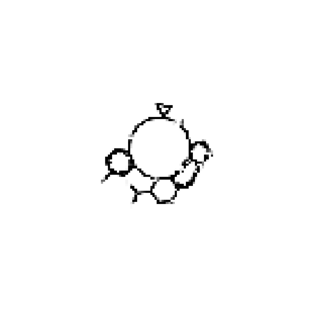 Fc1ccc2c(c1)CN1c3nc4c(cnn4cc3OC[C@H]1C(F)F)CNC1(CCO2)CC1